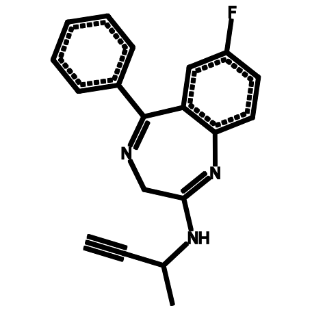 C#CC(C)NC1=Nc2ccc(F)cc2C(c2ccccc2)=NC1